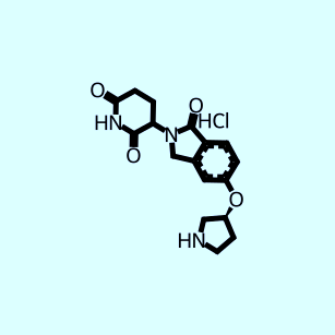 Cl.O=C1CCC(N2Cc3cc(O[C@H]4CCNC4)ccc3C2=O)C(=O)N1